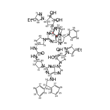 CCc1cnn([C@H]2C[C@@H](n3cnc4c(NCC(c5ccccc5)c5ccccc5)nc(N5CC[C@@H](NC(=O)N[C@@H]6CCN(c7nc(NCC(c8ccccc8)c8ccccc8)c8ncn([C@@H]9C[C@H](n%10cc(CC)cn%10)[C@@H](O)[C@H]9O)c8n7)C6)C5)nc43)[C@H](O)[C@@H]2O)c1